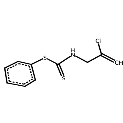 C=C(Cl)CNC(=S)Sc1ccccc1